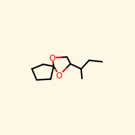 CCC(C)C1COC2(CCCC2)O1